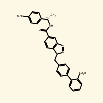 COc1ccc([C@H](C)NC(=O)c2ccc3c(c2)nnn3Cc2ccc(-c3ccccc3C(=O)O)cc2)cc1